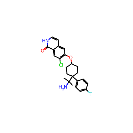 CC(C)(N)C1(c2ccc(F)cc2)CCC(Oc2cc3cc[nH]c(=O)c3cc2Cl)CC1